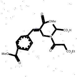 CCOC(=O)CC(=O)N(C/C(=C\c1ccc(C(=O)OC)cc1)C(=O)OC)C(C)C(=O)O